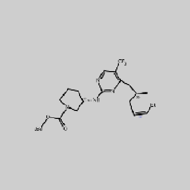 CC/C=C\C[C@H](C)Cc1nc(N[C@H]2CCCN(C(=O)OC(C)(C)C)C2)ncc1C(F)(F)F